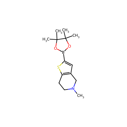 CN1CCc2sc(B3OC(C)(C)C(C)(C)O3)cc2C1